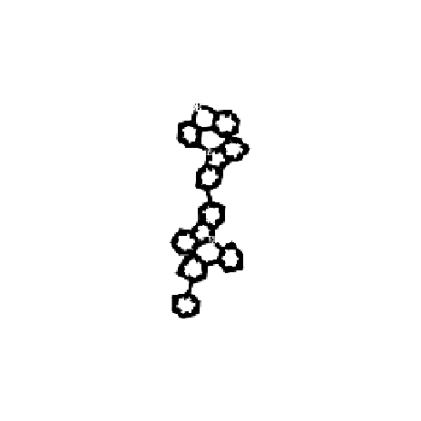 c1ccc(-c2cccc(-c3ccccc3-n3c4ccccc4c4cc(-c5ccc6c(c5)c5ccccc5n6-c5cccc6c5-c5ccccc5CO6)ccc43)c2)cc1